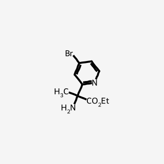 CCOC(=O)C(C)(N)c1cc(Br)ccn1